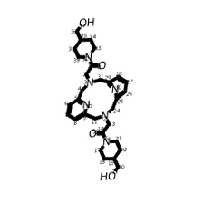 O=C(CN1Cc2cccc(n2)CN(CC(=O)N2CCC(CO)CC2)Cc2cccc(n2)C1)N1CCC(CO)CC1